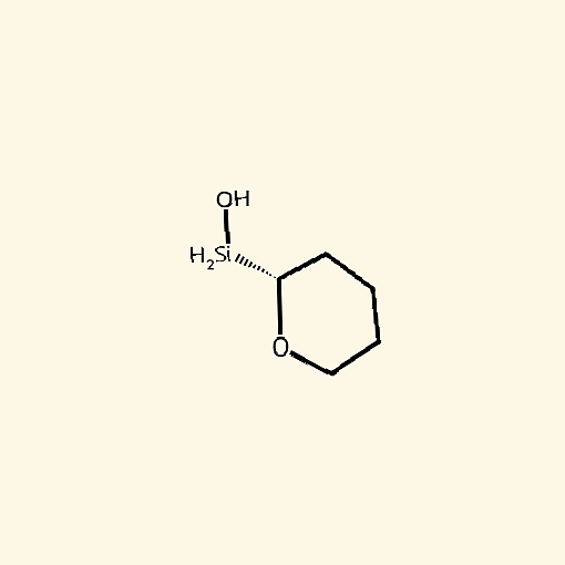 O[SiH2][C@@H]1CCCCO1